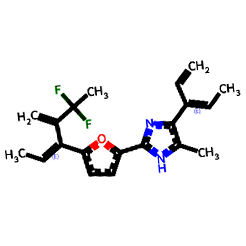 C=C/C(=C\C)c1nc(-c2ccc(/C(=C/C)C(=C)C(C)(F)F)o2)[nH]c1C